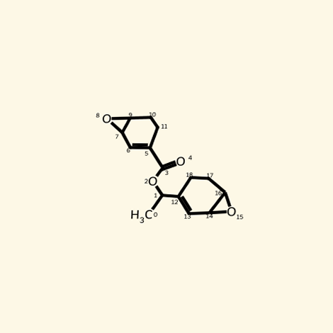 CC(OC(=O)C1=CC2OC2CC1)C1=CC2OC2CC1